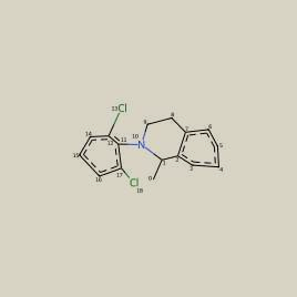 CC1c2ccccc2CCN1c1c(Cl)cccc1Cl